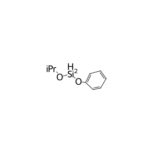 CC(C)O[SiH2]Oc1ccccc1